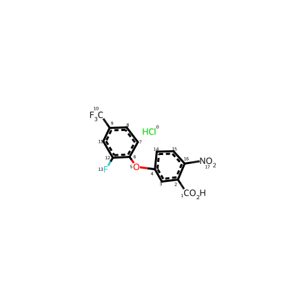 Cl.O=C(O)c1cc(Oc2ccc(C(F)(F)F)cc2F)ccc1[N+](=O)[O-]